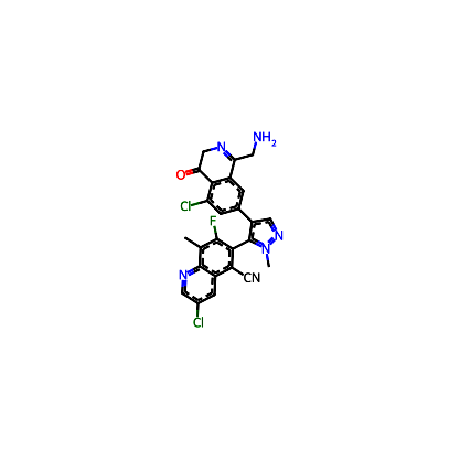 Cc1c(F)c(-c2c(-c3cc(Cl)c4c(c3)C(CN)=NCC4=O)cnn2C)c(C#N)c2cc(Cl)cnc12